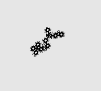 c1ccc(-c2nc(-c3cccc(-c4cccc5c4Oc4c(ccc6c4-c4ccccc4C6(c4ccccc4)c4ccccc4)O5)c3)nc(-c3ccc4c(c3)oc3ccccc34)n2)cc1